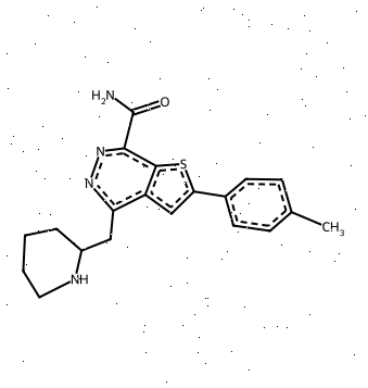 Cc1ccc(-c2cc3c(CC4CCCCN4)nnc(C(N)=O)c3s2)cc1